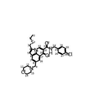 CCSCc1cc2cc(CN3CCOCC3)cc3c(=O)c(C(=O)NCc4ccc(Cl)cc4)cn1c23